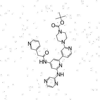 CC(C)(C)OC(=O)N1CCN(c2cc(-c3cc(NC(=O)Cc4cccnc4)cc(Nc4cnccn4)n3)ccn2)CC1